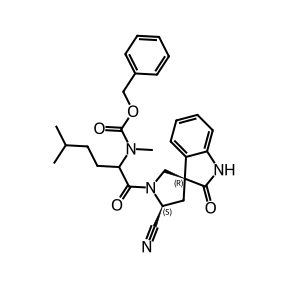 CC(C)CCC(C(=O)N1C[C@]2(C[C@H]1C#N)C(=O)Nc1ccccc12)N(C)C(=O)OCc1ccccc1